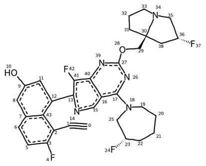 C#Cc1c(F)ccc2cc(O)cc(-c3ncc4c(N5CCCC[C@H](F)C5)nc(OC[C@@]56CCCN5C[C@H](F)C6)nc4c3F)c12